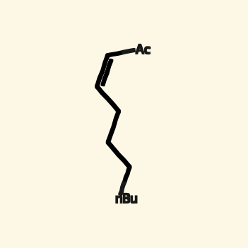 CCCCCCC/C=C\C(C)=O